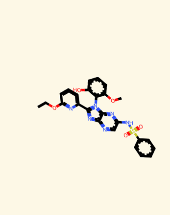 CCOC1=NC(c2nc3ncc(NS(=O)(=O)c4ccccc4)nc3n2-c2c(O)cccc2OC)=C=C=C1